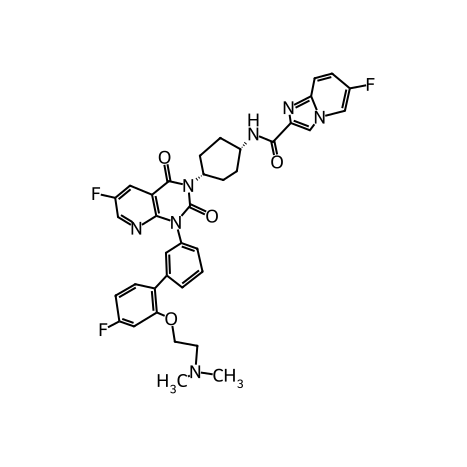 CN(C)CCOc1cc(F)ccc1-c1cccc(-n2c(=O)n([C@H]3CC[C@@H](NC(=O)c4cn5cc(F)ccc5n4)CC3)c(=O)c3cc(F)cnc32)c1